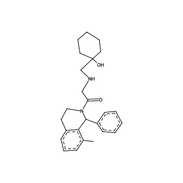 Cc1cccc2c1C(c1ccccc1)N(C(=O)CNCC1(O)CCCCC1)CC2